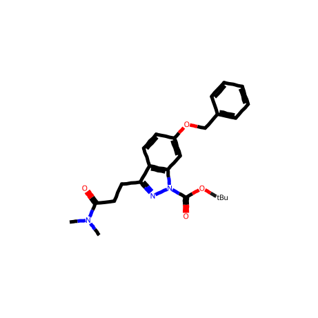 CN(C)C(=O)CCc1nn(C(=O)OC(C)(C)C)c2cc(OCc3ccccc3)ccc12